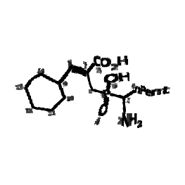 CCCCCC(N)P(=O)(O)CC(=CC1CCCCC1)C(=O)O